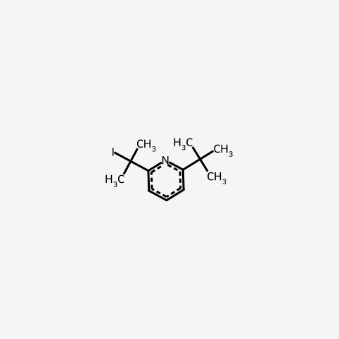 CC(C)(C)c1cccc(C(C)(C)I)n1